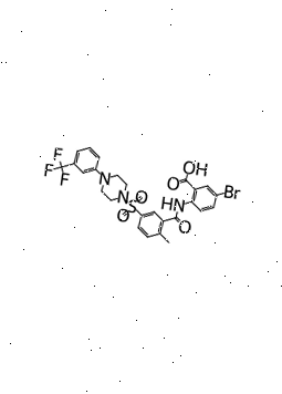 Cc1ccc(S(=O)(=O)N2CCN(c3cccc(C(F)(F)F)c3)CC2)cc1C(=O)Nc1ccc(Br)cc1C(=O)O